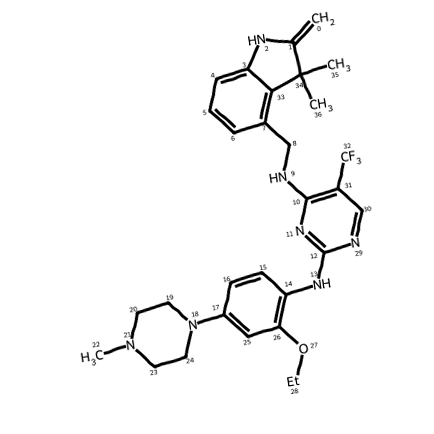 C=C1Nc2cccc(CNc3nc(Nc4ccc(N5CCN(C)CC5)cc4OCC)ncc3C(F)(F)F)c2C1(C)C